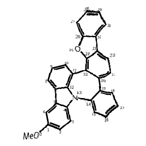 COc1ccc2c(c1)c1cccc3c1n2-c1ccccc1-c1ccc2c(oc4ccccc42)c1-3